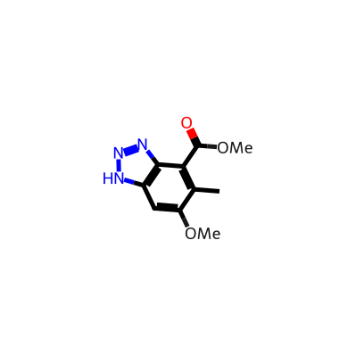 COC(=O)c1c(C)c(OC)cc2[nH]nnc12